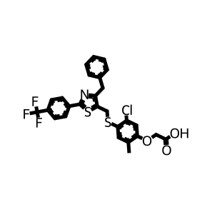 Cc1cc(SCc2sc(-c3ccc(C(F)(F)F)cc3)nc2Cc2ccccc2)c(Cl)cc1OCC(=O)O